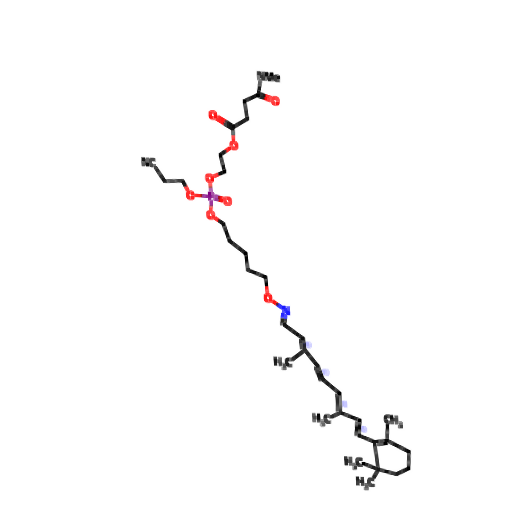 CNC(=O)CCC(=O)OCCOP(=O)(OCCC#N)OCCCCCON=C/C=C(C)/C=C/C=C(C)/C=C/C1=C(C)CCCC1(C)C